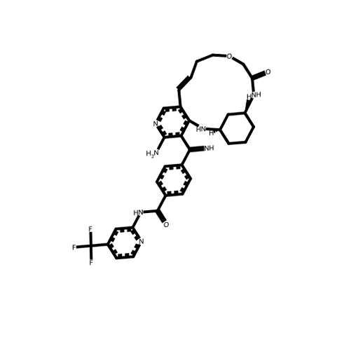 N=C(c1ccc(C(=O)Nc2cc(C(F)(F)F)ccn2)cc1)c1c(N)ncc2c1N[C@@H]1CCC[C@H](C1)NC(=O)COCC/C=C/2